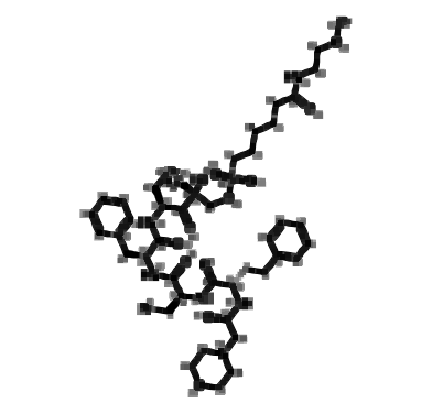 CC(C)C[C@H](NC(=O)[C@H](CCc1ccccc1)NC(=O)CN1CCOCC1)C(=O)N[C@@H](Cc1ccccc1)C(=O)N[C@@H](CC(C)C)C(=O)[C@](C)(O)COS(=O)(=O)CCCCCC(=O)NCCOC(C)C